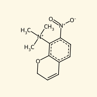 C[N+](C)(C)c1c([N+](=O)[O-])ccc2c1OCC=C2